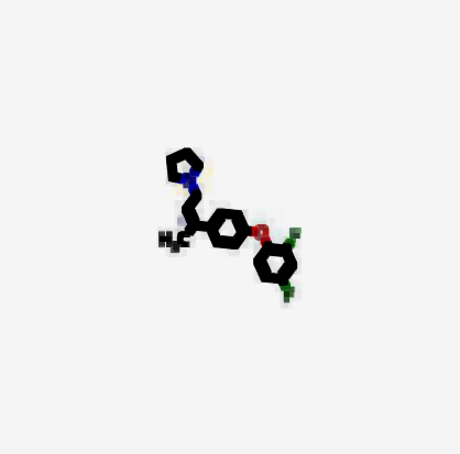 C/C(=C/CN1CCCC1)c1ccc(Oc2ccc(F)cc2F)cc1